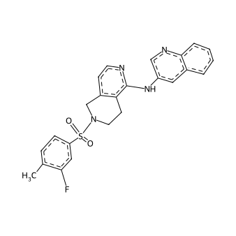 Cc1ccc(S(=O)(=O)N2CCc3c(ccnc3Nc3cnc4ccccc4c3)C2)cc1F